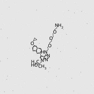 CC(C)(O)Cn1cc(-c2ccc3cc(OC4CC4)ccc3c2)c2c(NCCOCCOCCOCCN)ncnc21